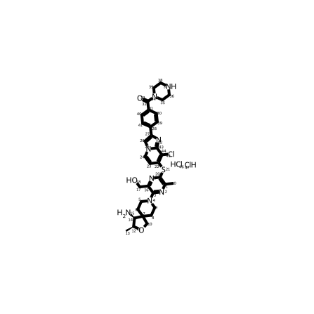 Cc1nc(N2CCC3(CC2)CO[C@@H](C)[C@H]3N)c(CO)nc1Sc1ccn2cc(-c3ccc(C(=O)N4CCNCC4)cc3)nc2c1Cl.Cl.Cl